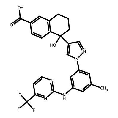 Cc1cc(Nc2nccc(C(F)(F)F)n2)cc(-n2cc(C3(O)CCCc4cc(C(=O)O)ccc43)cn2)c1